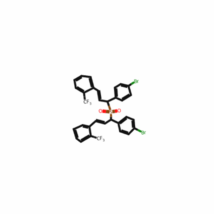 O=S(=O)(C(C=Cc1ccccc1C(F)(F)F)c1ccc(Br)cc1)C(C=Cc1ccccc1C(F)(F)F)c1ccc(Br)cc1